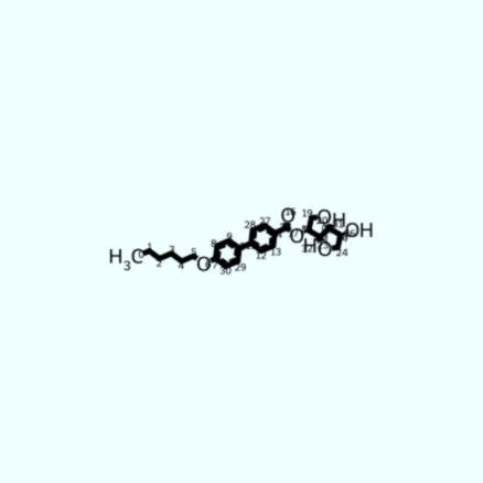 CCCCCCOc1ccc(-c2ccc(C(=O)O[C@@H]3CO[C@H]4[C@@H]3OC[C@@H]4O)cc2)cc1